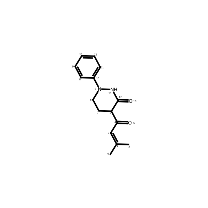 CC(C)=CC(=O)C1CCN(c2ccccc2)NC1=O